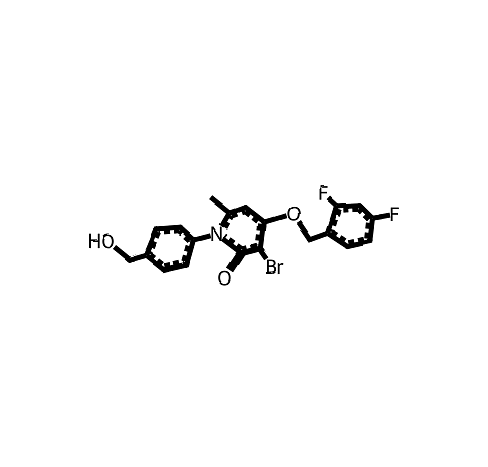 Cc1cc(OCc2ccc(F)cc2F)c(Br)c(=O)n1-c1ccc(CO)cc1